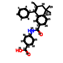 CC1=C(c2ccccc2)c2cc(C(=O)Nc3ccc(C(=O)O)cc3)ccc2C(C)(C)C1